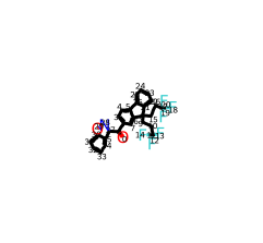 O=C(c1ccc2c(c1)C(CCC(F)(F)F)(CCC(F)(F)F)c1ccccc1-2)c1noc2ccccc12